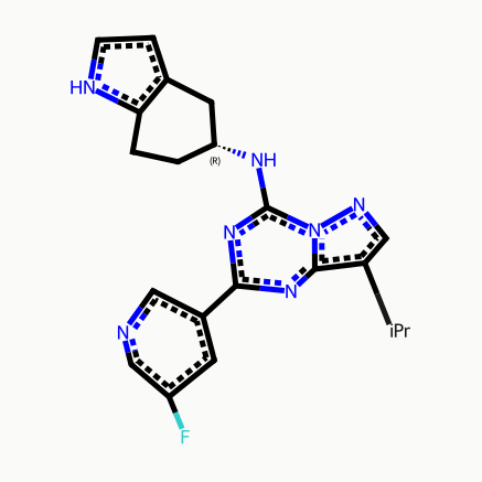 CC(C)c1cnn2c(N[C@@H]3CCc4[nH]ccc4C3)nc(-c3cncc(F)c3)nc12